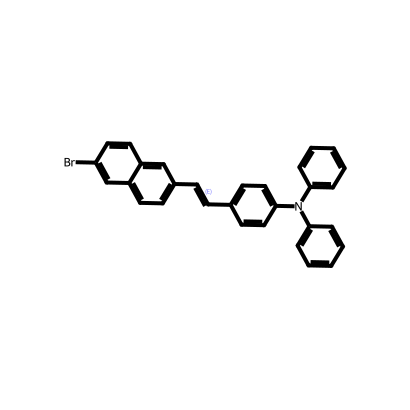 Brc1ccc2cc(/C=C/c3ccc(N(c4ccccc4)c4ccccc4)cc3)ccc2c1